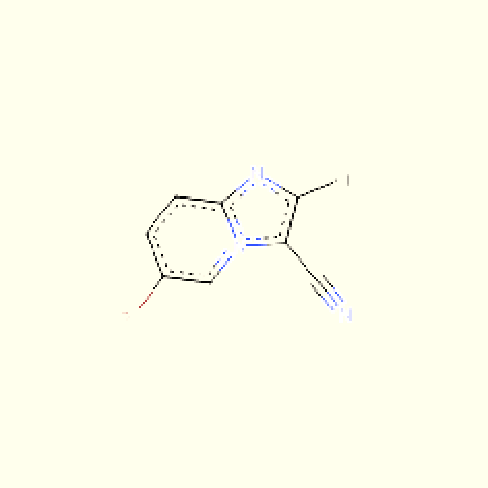 Cc1nc2ccc(Br)cn2c1C#N